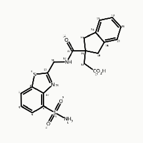 NS(=O)(=O)c1cccc2sc(CNC(=O)C3(CC(=O)O)Cc4ccccc4C3)nc12